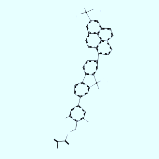 C=C(C)C(=O)OCc1c(F)cc(-c2ccc3c(c2)C(C)(C)c2cc(-c4ccc5ccc6cc(C(C)(C)C)cc7ccc4c5c67)ccc2-3)cc1F